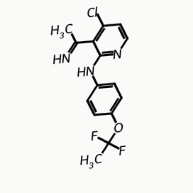 CC(=N)c1c(Cl)ccnc1Nc1ccc(OC(C)(F)F)cc1